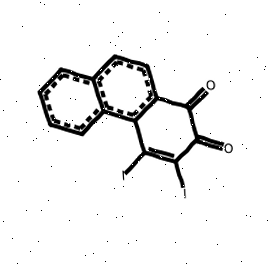 O=C1C(=O)c2ccc3ccccc3c2C(I)=C1I